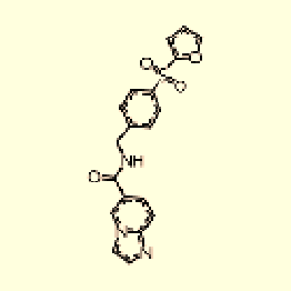 O=C(NCc1ccc(S(=O)(=O)c2ccco2)cc1)c1ccc2nccn2c1